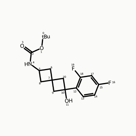 CC(C)(C)OC(=O)NC1CC2(C1)CC(O)(c1ccc(F)cc1F)C2